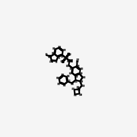 Cn1ncc2c(S(=O)(=O)NCc3cc4c(cc3F)CC(CN3CCC3)C4Cc3ccccc3)cccc21